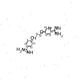 N=C(N)c1ccc(OCCCOc2ccc(C(=N)N)nc2)cc1